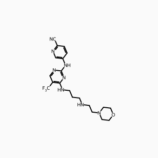 N#Cc1ccc(Nc2ncc(C(F)(F)F)c(NCCCNCCN3CCOCC3)n2)cn1